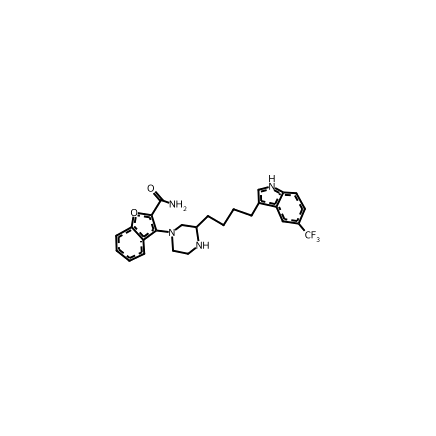 NC(=O)c1oc2ccccc2c1N1CCNC(CCCCc2c[nH]c3ccc(C(F)(F)F)cc23)C1